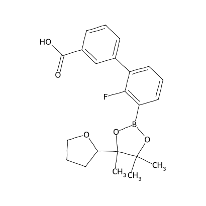 CC1(C)OB(c2cccc(-c3cccc(C(=O)O)c3)c2F)OC1(C)C1CCCO1